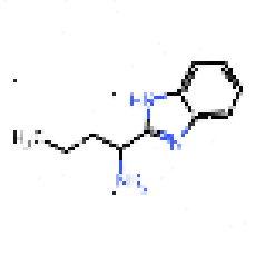 CCCC(N)c1nc2ccccc2[nH]1